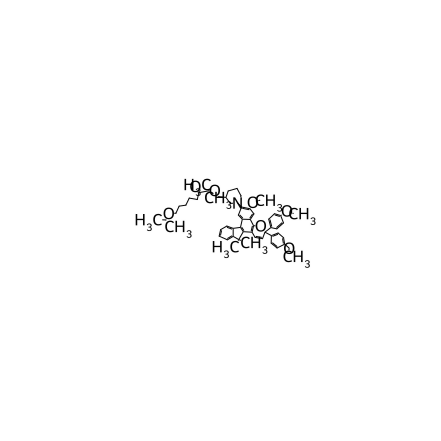 COc1ccc(C2(c3ccc(OC)cc3)C=Cc3c4c(c5cc(N6CCCC(COC(C)(C)C(=O)CCCCCOC(C)C)C6)c(OC)cc5c3O2)-c2ccccc2C4(C)C)cc1